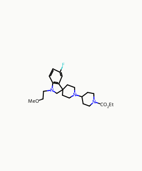 CCOC(=O)N1CCC(N2CCC3(CC2)CN(CCOC)c2ccc(F)cc23)CC1